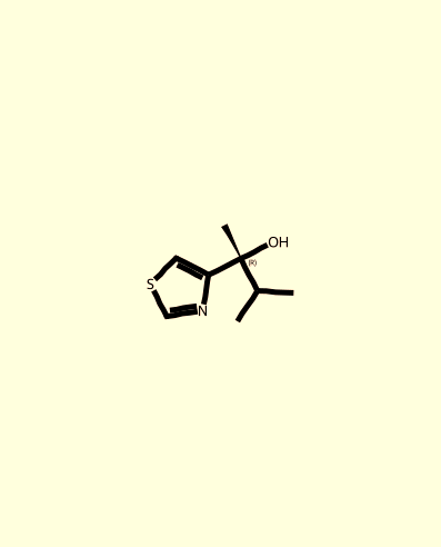 CC(C)[C@@](C)(O)c1cscn1